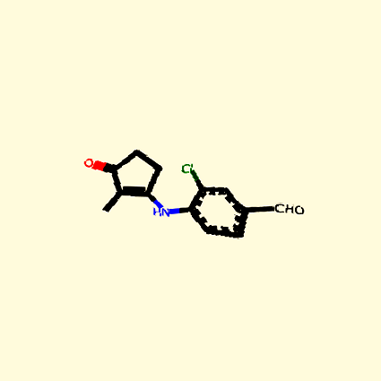 CC1=C(Nc2ccc(C=O)cc2Cl)CCC1=O